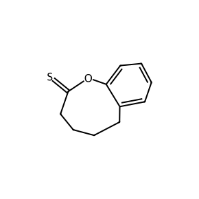 S=C1CCCCc2ccccc2O1